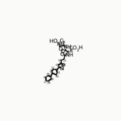 NC(=O)[C@H](CC(=O)O)NC(=O)[C@H](CC(=O)O)NC(=O)CCc1cc(-c2ccc(-c3ccccc3)cc2)no1